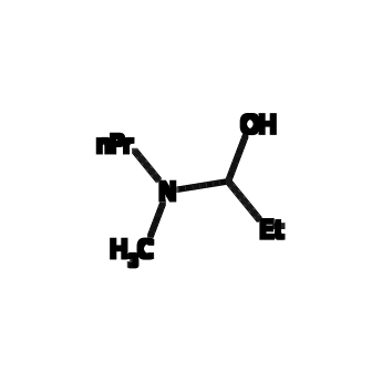 CCCN(C)C(O)CC